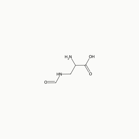 NC(CNC=O)C(=O)O